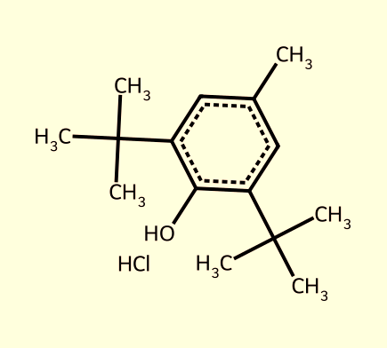 Cc1cc(C(C)(C)C)c(O)c(C(C)(C)C)c1.Cl